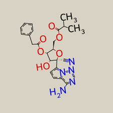 CC(C)C(=O)OC[C@H]1O[C@@](C#N)(c2ccc3c(N)ncnn23)[C@H](O)[C@@H]1OC(=O)Cc1ccccc1